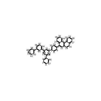 c1ccc(-c2nc(-c3ccc(-c4cc5ccc6ccccc6c5c5ccccc45)cc3)cc(-c3cccc(-c4ccncc4)c3)n2)cc1